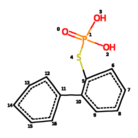 O=P(O)(O)Sc1ccccc1-c1ccccc1